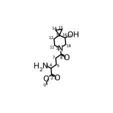 COC(=O)C(N)CCC(=O)N1CCC2(CC2)C(O)C1